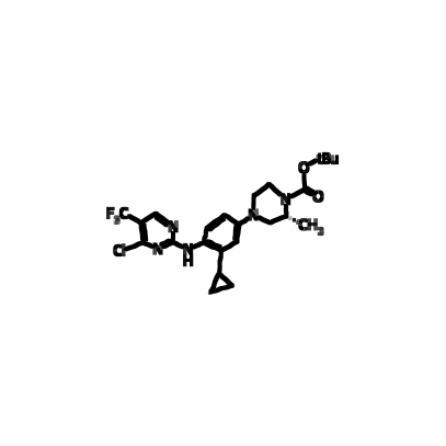 C[C@@H]1CN(c2ccc(Nc3ncc(C(F)(F)F)c(Cl)n3)c(C3CC3)c2)CCN1C(=O)OC(C)(C)C